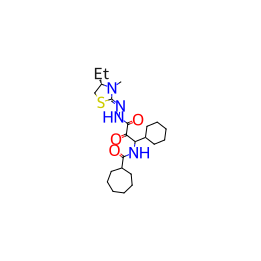 CC[C@@H]1CS/C(=N\NC(=O)C(=O)C(NC(=O)C2CCCCCC2)C2CCCCC2)N1C